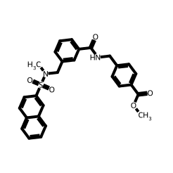 COC(=O)c1ccc(CNC(=O)c2cccc(CN(C)S(=O)(=O)c3ccc4ccccc4c3)c2)cc1